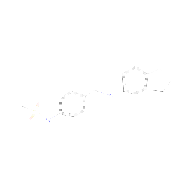 CC1Cc2ccc(NCc3ccc(NS(=O)(=O)C(C)(C)C)cc3)cc2C1